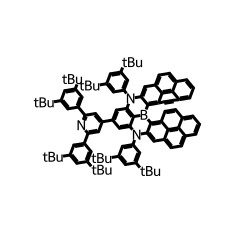 CC(C)(C)c1cc(-c2cc(-c3cc4c5c(c3)N(c3cc(C(C)(C)C)cc(C(C)(C)C)c3)c3cc6ccc7cccc8ccc(c3B5c3c(cc5ccc9cccc%10ccc3c5c9%10)N4c3cc(C(C)(C)C)cc(C(C)(C)C)c3)c6c78)cc(-c3cc(C(C)(C)C)cc(C(C)(C)C)c3)n2)cc(C(C)(C)C)c1